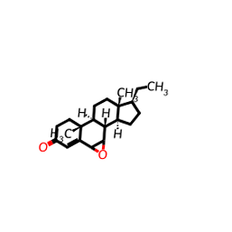 CC[C@H]1CC[C@H]2[C@@H]3C4OC4C4=CC(=O)CC[C@]4(C)[C@H]3CC[C@]12C